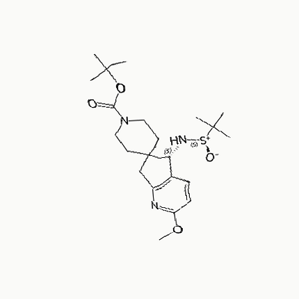 COc1ccc2c(n1)CC1(CCN(C(=O)OC(C)(C)C)CC1)[C@@H]2N[S@+]([O-])C(C)(C)C